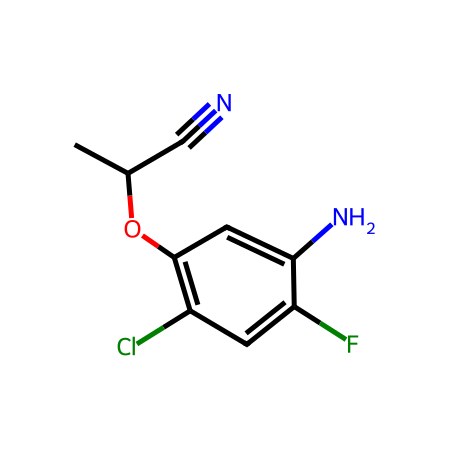 CC(C#N)Oc1cc(N)c(F)cc1Cl